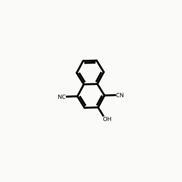 N#Cc1cc(O)c(C#N)c2ccccc12